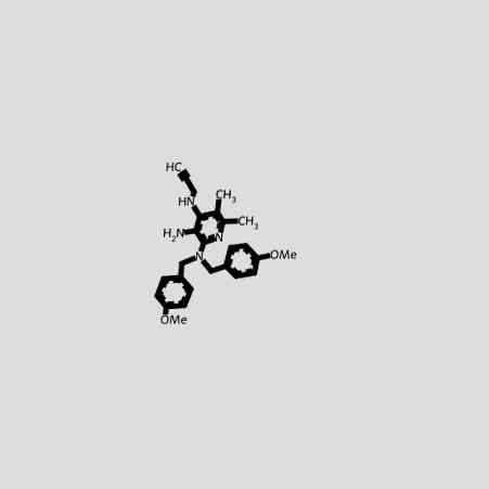 C#CCNc1c(C)c(C)nc(N(Cc2ccc(OC)cc2)Cc2ccc(OC)cc2)c1N